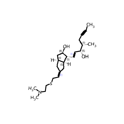 CC#CC[C@H](C)[C@H](O)/C=C/[C@@H]1[C@H]2C/C(=C/CSCCN(C)C)C[C@H]2C[C@H]1O